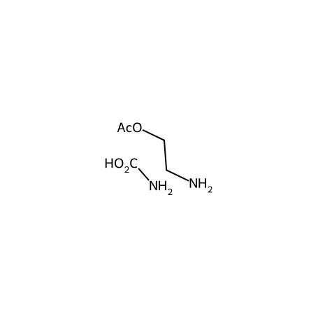 CC(=O)OCCN.NC(=O)O